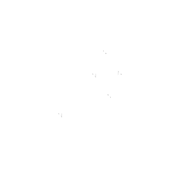 c1ccc(-c2nc(-c3ccc4ccccc4c3)nc(-n3c4cc(-n5c6ccccc6c6cc7ccccc7cc65)ccc4c4cc5ccccc5cc43)n2)cc1